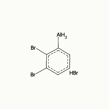 Br.[AlH2][c]1cccc(Br)c1Br